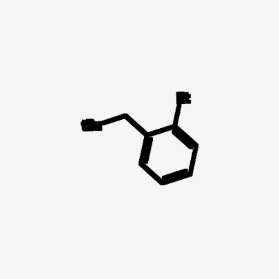 CCc1ccccc1CC(C)(C)C